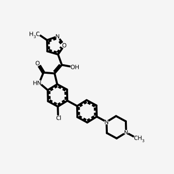 Cc1cc(C(O)=C2C(=O)Nc3cc(Cl)c(-c4ccc(N5CCN(C)CC5)cc4)cc32)on1